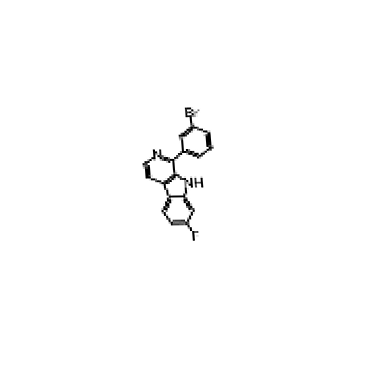 Fc1ccc2c(c1)[nH]c1c(-c3cccc(Br)c3)nccc12